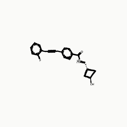 O=C(NC[C@H]1C[C@H](O)C1)c1ccc(C#Cc2ccccc2F)cc1